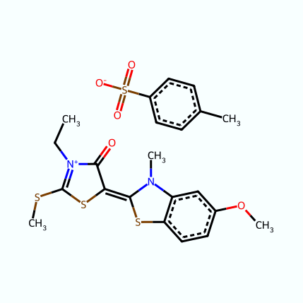 CC[N+]1=C(SC)SC(=C2Sc3ccc(OC)cc3N2C)C1=O.Cc1ccc(S(=O)(=O)[O-])cc1